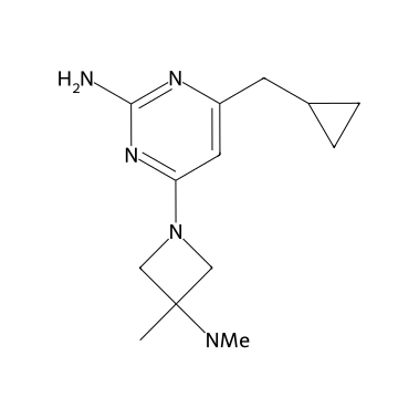 CNC1(C)CN(c2cc(CC3CC3)nc(N)n2)C1